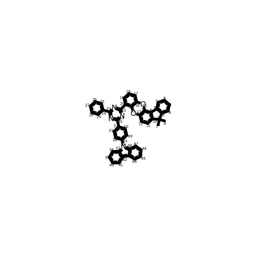 CC1(C)c2ccccc2-c2c1ccc1c2Oc2cccc(-c3nc(-c4ccccc4)nc(-c4ccc(-n5c6ccccc6c6ccccc65)cc4)n3)c2O1